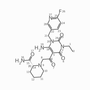 CCn1c(=O)c(C(=O)CN2CCCC[C@@H]2C(N)=O)c(N)n(Cc2ccc(F)nc2)c1=O